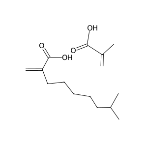 C=C(C)C(=O)O.C=C(CCCCCC(C)C)C(=O)O